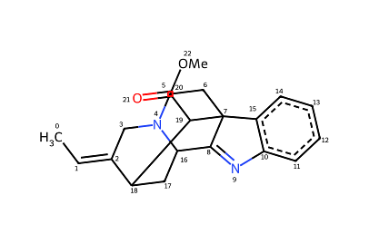 CC=C1CN2CCC34C(=Nc5ccccc53)C2CC1C4C(=O)OC